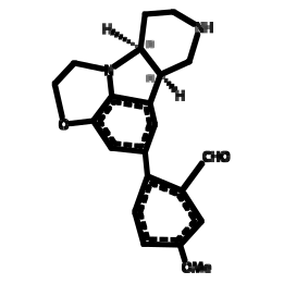 COc1ccc(-c2cc3c4c(c2)[C@@H]2CNCC[C@@H]2N4CCO3)c(C=O)c1